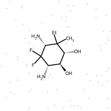 CCC1(C)[C@H](O)[C@@H](O)[C@H](N)C(F)(F)[C@@H]1N